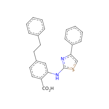 O=C(O)c1ccc(CCc2ccccc2)cc1Nc1nc(-c2ccccc2)cs1